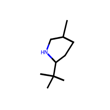 CC1CCC(C(C)(C)C)NC1